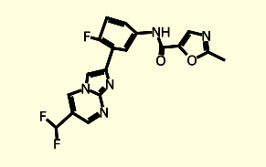 Cc1ncc(C(=O)Nc2ccc(F)c(-c3cn4cc(C(F)F)cnc4n3)c2)o1